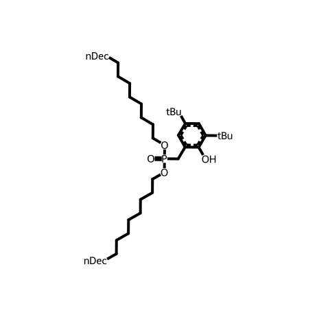 CCCCCCCCCCCCCCCCCCOP(=O)(Cc1cc(C(C)(C)C)cc(C(C)(C)C)c1O)OCCCCCCCCCCCCCCCCCC